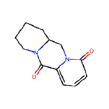 O=C1c2cccc(=O)n2CC2CCCCN12